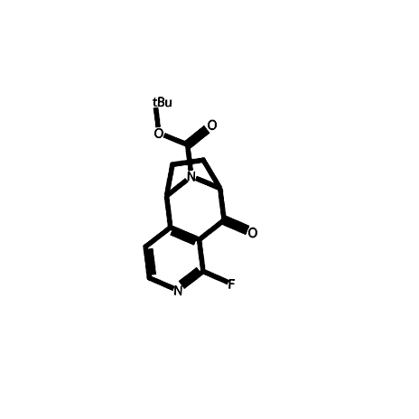 CC(C)(C)OC(=O)N1C2CCC1c1ccnc(F)c1C2=O